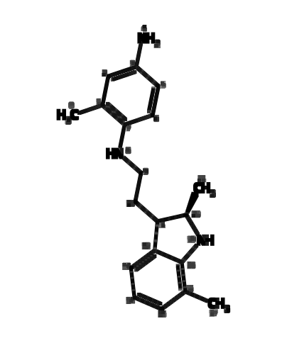 Cc1cc(N)ccc1NCCC1c2cccc(C)c2N[C@@H]1C